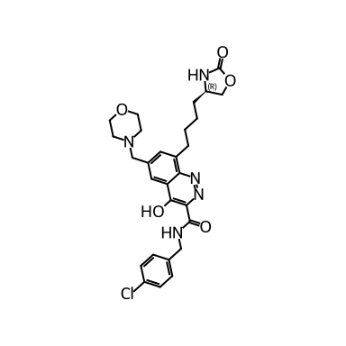 O=C1N[C@H](CCCCc2cc(CN3CCOCC3)cc3c(O)c(C(=O)NCc4ccc(Cl)cc4)nnc23)CO1